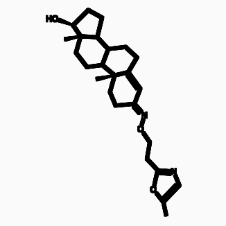 Cc1cnc(CCON=C2C=C3CCC4C(CC[C@@]5(C)C4CC[C@@H]5O)[C@@]3(C)CC2)o1